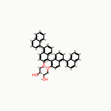 OCCOc1ccc2c(-c3cccc4ccccc34)cccc2c1-c1c(OCCO)ccc2c(-c3cccc4ccccc34)cccc12